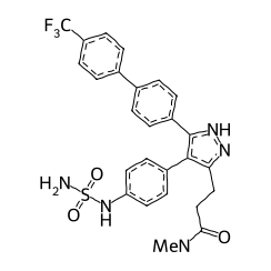 CNC(=O)CCc1n[nH]c(-c2ccc(-c3ccc(C(F)(F)F)cc3)cc2)c1-c1ccc(NS(N)(=O)=O)cc1